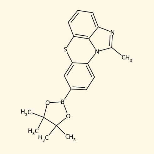 Cc1nc2cccc3c2n1-c1ccc(B2OC(C)(C)C(C)(C)O2)cc1S3